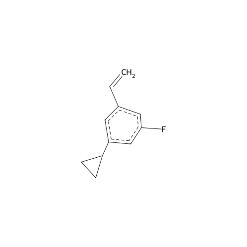 C=Cc1cc(F)cc(C2CC2)c1